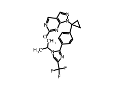 CC(C)n1cc(C(F)(F)F)nc1-c1ccc(C2(n3ncc4cnc(Cl)nc43)CC2)cc1